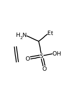 C=C.CCC(N)S(=O)(=O)O